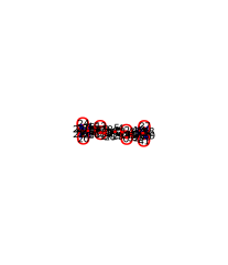 O=C(Oc1ccc(-c2ccc(OC(=O)c3ccc(N4C(=O)C=CC4=O)cc3)cc2)cc1)c1ccc(N2C(=O)C=CC2=O)cc1